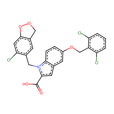 O=C(O)c1cc2cc(OCc3c(Cl)cccc3Cl)ccc2n1Cc1cc2c(cc1Cl)OOC2